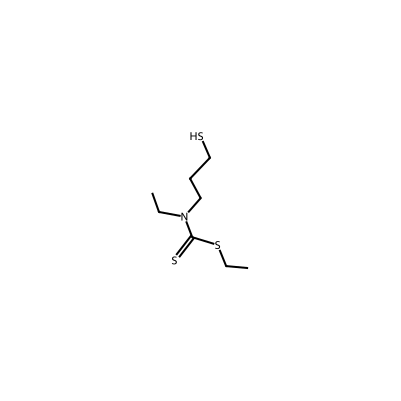 CCSC(=S)N(CC)CCCS